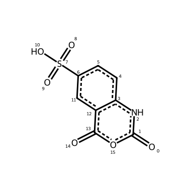 O=c1[nH]c2ccc(S(=O)(=O)O)cc2c(=O)o1